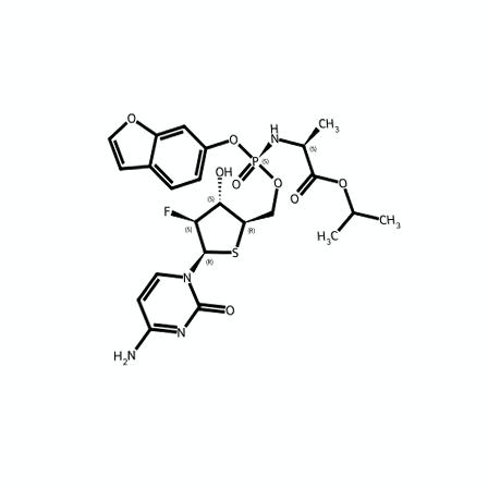 CC(C)OC(=O)[C@H](C)N[P@](=O)(OC[C@H]1S[C@@H](n2ccc(N)nc2=O)[C@@H](F)[C@@H]1O)Oc1ccc2ccoc2c1